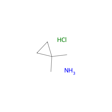 CC1(C)CC1.Cl.N